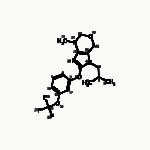 CC(C)Cn1c(Oc2cccc(OC(F)(F)F)c2)nc2c1COCN2C